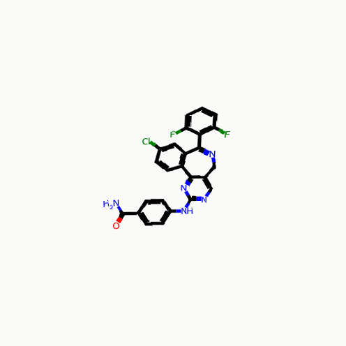 NC(=O)c1ccc(Nc2ncc3c(n2)-c2ccc(Cl)cc2C(c2c(F)cccc2F)=NC3)cc1